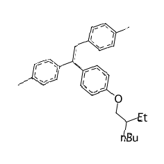 CCCCC(CC)COc1ccc(/C(=C\c2ccc(C)cc2)c2ccc(C)cc2)cc1